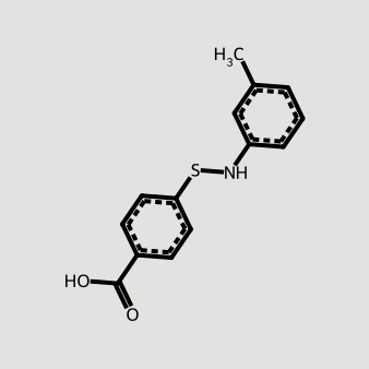 Cc1cccc(NSc2ccc(C(=O)O)cc2)c1